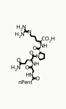 CCCCCC(=O)NCC(=O)N[C@@H](CCC(N)=O)C(=O)N1CCC[C@H]1C(=O)N[C@@H](CCCN=C(N)N)C(=O)O